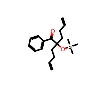 C=CCCC(CCC=C)(O[Si](C)(C)C)C(=O)c1ccccc1